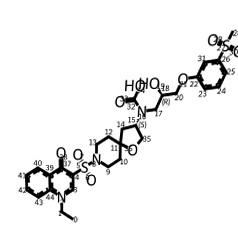 CCn1cc(S(=O)(=O)N2CCC3(CC2)C[C@H](N(C[C@@H](O)COc2cccc(S(C)(=O)=O)c2)C(=O)O)CO3)c(=O)c2ccccc21